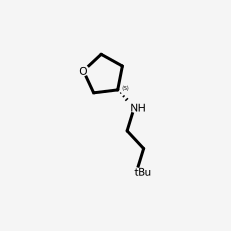 CC(C)(C)CCN[C@H]1CCOC1